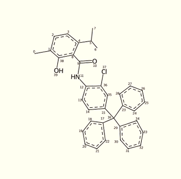 Cc1ccc(C(C)C)c(C(=O)Nc2ccc(C(c3ccccc3)(c3ccccc3)c3ccccc3)cc2Cl)c1O